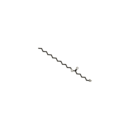 CCCCCCCCCCCCCCOC(=O)CCCCCBr